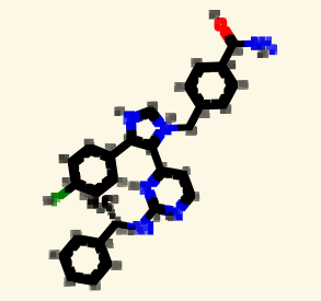 C[C@H](Nc1nccc(-c2c(-c3ccc(F)cc3)ncn2Cc2ccc(C(N)=O)cc2)n1)c1ccccc1